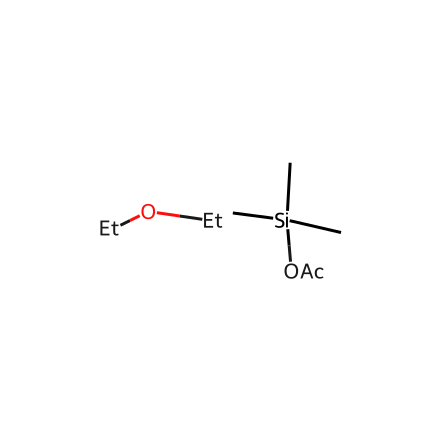 CC(=O)O[Si](C)(C)C.CCOCC